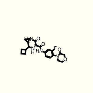 NC(=O)[C@@H](NC(C1CCC1)C1CC1)C(=O)Nc1ccc(N2CCOCC2=O)c(F)c1